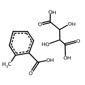 Cc1ccccc1C(=O)O.O=C(O)C(O)C(O)C(=O)O